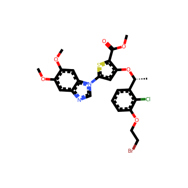 COC(=O)c1sc(-n2cnc3cc(OC)c(OC)cc32)cc1O[C@H](C)c1cccc(OCCBr)c1Cl